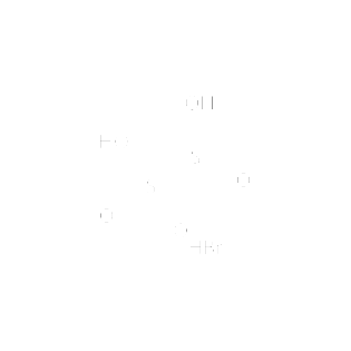 Br.O=S(O)S(=O)(=O)O